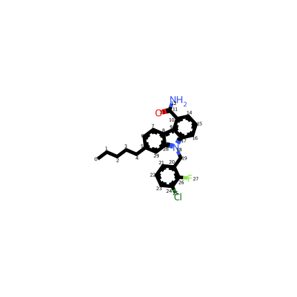 CCCCCc1c[c]c2c3c(C(N)=O)cccc3n(Cc3cccc(Cl)c3F)c2c1